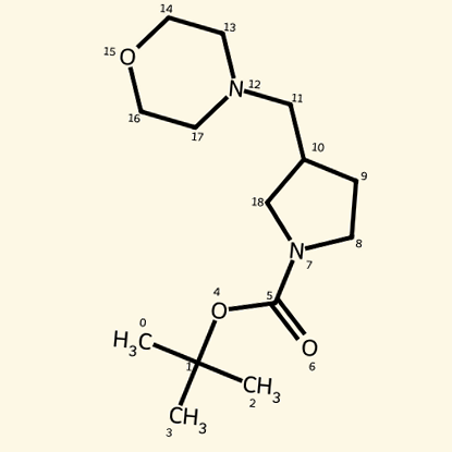 CC(C)(C)OC(=O)N1CCC(CN2CCOCC2)C1